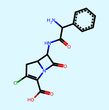 NC(C(=O)NC1C(=O)N2C(C(=O)O)=C(Cl)CC12)c1ccccc1